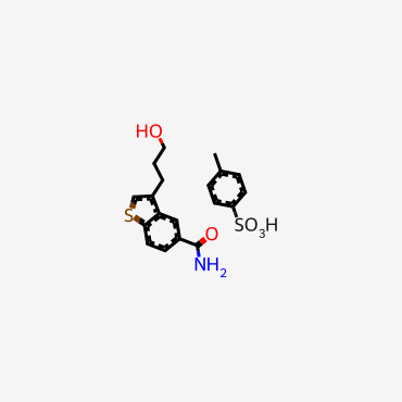 Cc1ccc(S(=O)(=O)O)cc1.NC(=O)c1ccc2scc(CCCO)c2c1